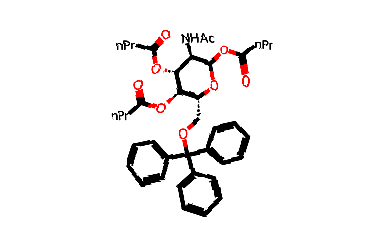 CCCC(=O)OC1O[C@H](COC(c2ccccc2)(c2ccccc2)c2ccccc2)[C@@H](OC(=O)CCC)[C@H](OC(=O)CCC)[C@H]1NC(C)=O